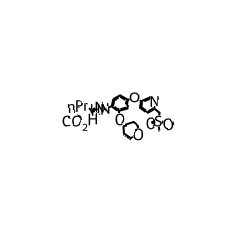 CCCC(=NNc1ccc(Oc2ccc(CS(C)(=O)=O)nc2)cc1OC1CCOCC1)C(=O)O